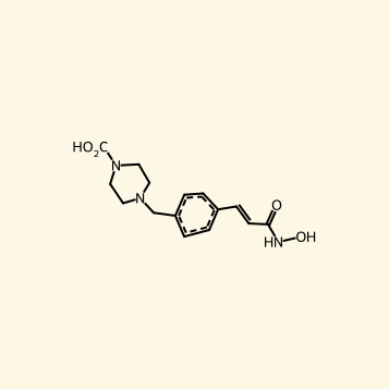 O=C(C=Cc1ccc(CN2CCN(C(=O)O)CC2)cc1)NO